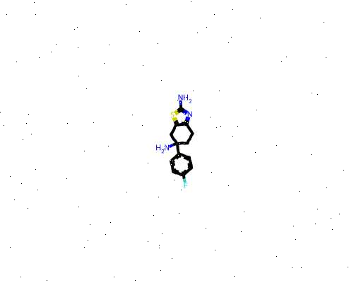 Nc1nc2c(s1)CC(N)(c1ccc(F)cc1)CC2